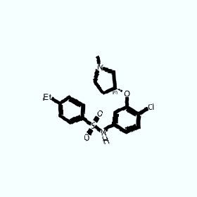 CCc1ccc(S(=O)(=O)Nc2ccc(Cl)c(O[C@@H]3CCN(C)C3)c2)cc1